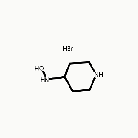 Br.ONC1CCNCC1